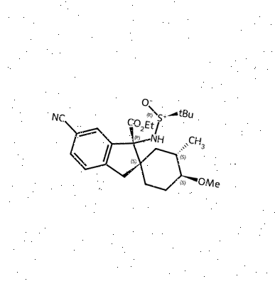 CCOC(=O)[C@]1(N[S@@+]([O-])C(C)(C)C)c2cc(C#N)ccc2C[C@@]12CC[C@H](OC)[C@@H](C)C2